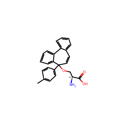 Cc1ccc(C2(OC[C@H](N)C(=O)O)C=Cc3ccccc3-c3ccccc32)cc1